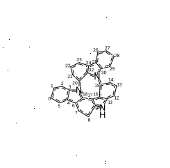 c1ccc2c(c1)c1ccc3[nH]c4cccc5c4c3c1n2c1cccc2c3ccccc3n5c21